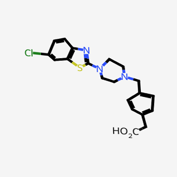 O=C(O)Cc1ccc(CN2CCN(c3nc4ccc(Cl)cc4s3)CC2)cc1